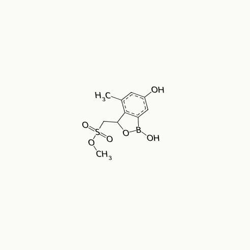 COS(=O)(=O)CC1OB(O)c2cc(O)cc(C)c21